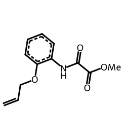 C=CCOc1ccccc1NC(=O)C(=O)OC